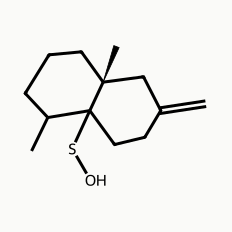 C=C1CCC2(SO)C(C)CCC[C@]2(C)C1